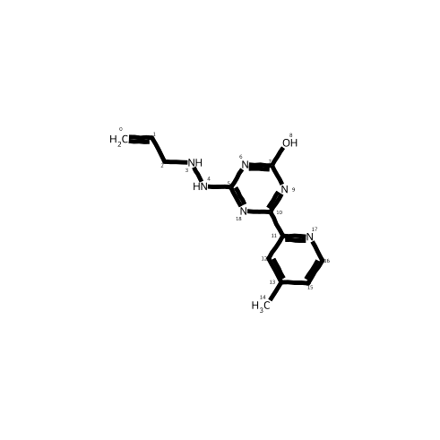 C=CCNNc1nc(O)nc(-c2cc(C)ccn2)n1